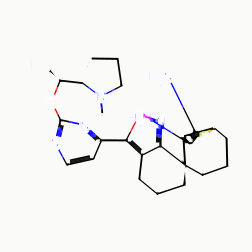 C[C@H](Oc1nccc(-c2onc3c2CCC[C@@]32CCCc3sc(N)c(N)c32)n1)[C@@H]1CCCN1C